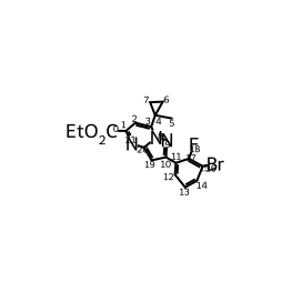 CCOC(=O)c1cc(C2(C)CC2)n2nc(-c3cccc(Br)c3F)cc2n1